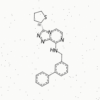 c1ccc(-c2cccc(CNc3nccn4c([C@@H]5CCCS5)nnc34)c2)cc1